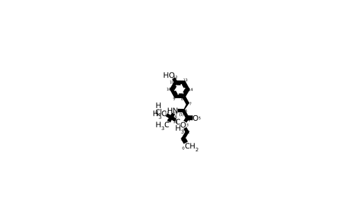 C=CCOC(=O)[C@H](Cc1ccc(O)cc1)NC(C)(C)C.Cl